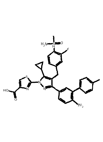 Cc1ccc(-c2cc(-c3nn(-c4nc(C(=O)O)cs4)c(C4CC4)c3Cc3ccc([SH](C)(N)=O)c(F)c3)ccc2P)cc1